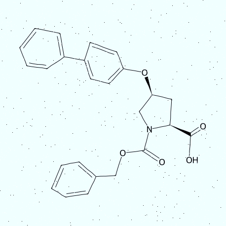 O=C(O)[C@@H]1C[C@H](Oc2ccc(-c3ccccc3)cc2)CN1C(=O)OCc1ccccc1